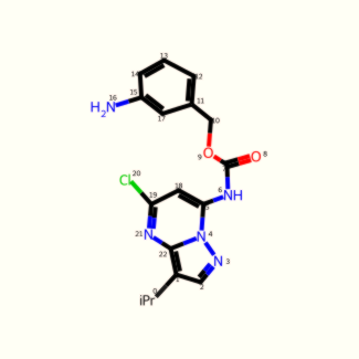 CC(C)c1cnn2c(NC(=O)OCc3cccc(N)c3)cc(Cl)nc12